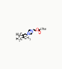 C=C(C)C(=C)CCN1CCN(CCOC(=O)C(C)(C)C)CC1